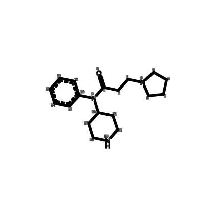 O=C(CCN1CCCC1)N(c1ccccc1)C1CCNCC1